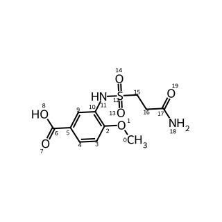 COc1ccc(C(=O)O)cc1NS(=O)(=O)CCC(N)=O